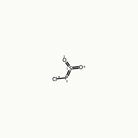 O=S(=O)=PCl